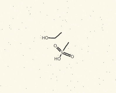 CCO.CS(=O)(=O)O